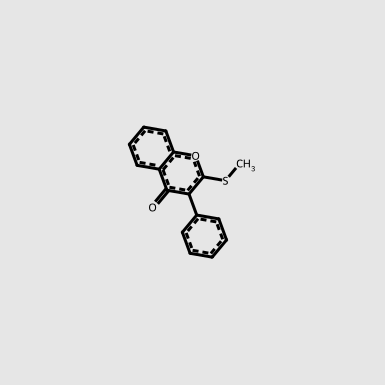 CSc1oc2ccccc2c(=O)c1-c1ccccc1